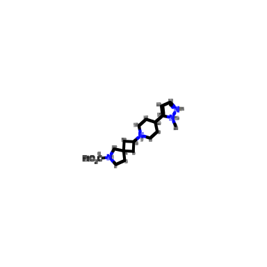 CCOC(=O)N1CCC2(CC(N3CCC(c4ccnn4C)CC3)C2)C1